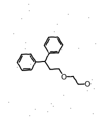 [O]CCOCCC(c1ccccc1)c1ccccc1